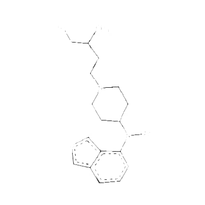 CC(=O)N(c1cccc2cocc12)C1CCN(CCC(C)CC(C)(C)C)CC1